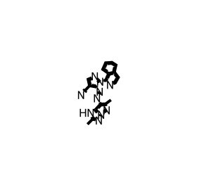 Cc1nn2nc(C)c(/N=N/c3c(C#N)cnn3-c3nccc4ccccc34)c2[nH]1